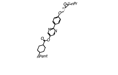 CCCCCC1CCC(C(=O)Oc2cnc(-c3ccc(OC[C@@H]4O[C@H]4CCC)cc3)nc2)CC1